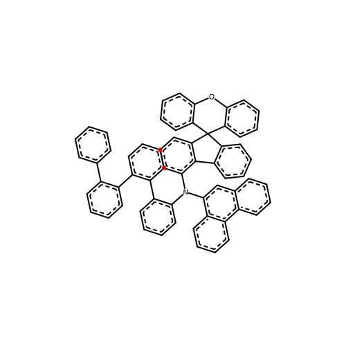 c1ccc(-c2ccccc2-c2ccccc2-c2ccccc2N(c2cccc3c2-c2ccccc2C32c3ccccc3Oc3ccccc32)c2cc3ccccc3c3ccccc23)cc1